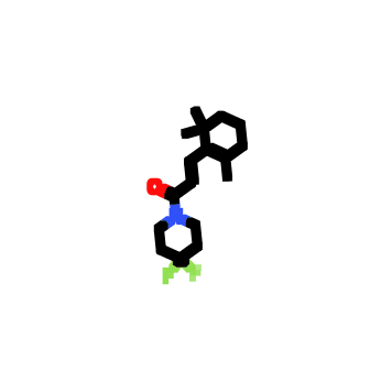 CC1=C(/C=C/C(=O)N2CCC(F)(F)CC2)C(C)(C)CCC1